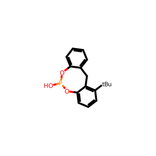 CC(C)(C)c1cccc2c1Cc1ccccc1OP(O)O2